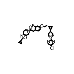 O=C(Cc1ccc(OCC[C@@H]2CC2C2CCN(c3ncc(Cl)cn3)CC2)cc1F)N1CCc2nc(C3CC3)oc2C1